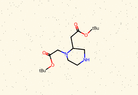 CC(C)(C)OC(=O)CC1CNCCN1CC(=O)OC(C)(C)C